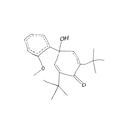 COc1ccccc1C1(O)C=C(C(C)(C)C)C(=O)C(C(C)(C)C)=C1